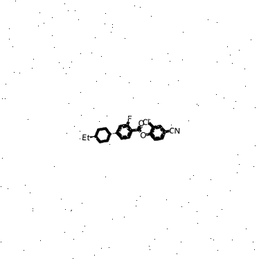 CC[C@H]1CC[C@H](c2ccc(C(=O)Oc3ccc(C#N)cc3Cl)c(F)c2)CC1